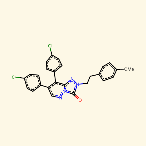 COc1ccc(CCn2nc3c(-c4ccc(Cl)cc4)c(-c4ccc(Cl)cc4)cnn3c2=O)cc1